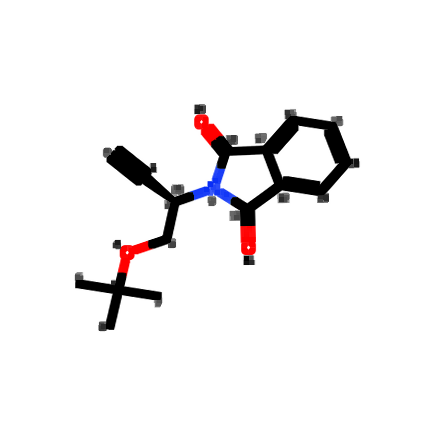 C#C[C@H](COC(C)(C)C)N1C(=O)c2ccccc2C1=O